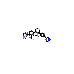 CC(C)(C)c1c(-c2ccc(-c3cccnc3)cc2)cccc1-c1ccc(-c2cccnc2)cc1